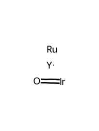 [O]=[Ir].[Ru].[Y]